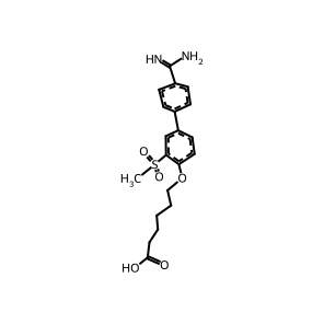 CS(=O)(=O)c1cc(-c2ccc(C(=N)N)cc2)ccc1OCCCCCC(=O)O